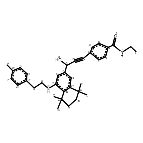 CCNC(=O)c1ccc(C#CC(O)c2cc(NCCc3ccc(C)cc3)c3c(c2)C(C)(C)CCC3(C)C)cc1